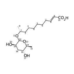 C[C@H](CCCCCCC=CC(=O)O)OC1O[C@@H](C)[C@H](O)C[C@H]1O